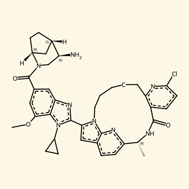 COc1cc(C(=O)N2C[C@H](N)[C@H]3CC[C@@H]2C3)cc2nc(-c3cc4ccc5nc4n3CCCCCc3nc(Cl)ccc3C(=O)N[C@@H]5C)n(C3CC3)c12